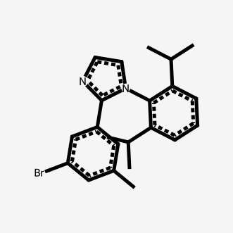 Cc1cc(Br)cc(-c2nccn2-c2c(C(C)C)cccc2C(C)C)c1